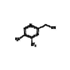 N#CCc1cc(C(F)(F)F)c(C(F)(F)F)cn1